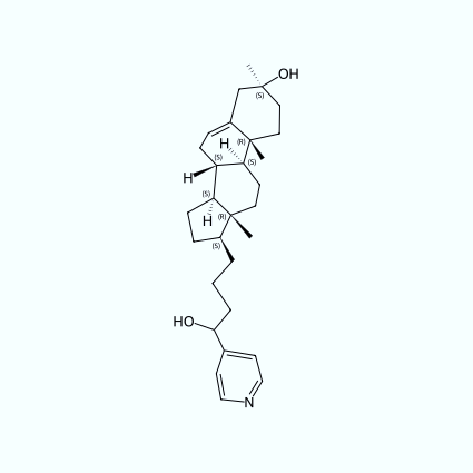 C[C@]1(O)CC[C@@]2(C)C(=CC[C@H]3[C@@H]4CC[C@H](CCCC(O)c5ccncc5)[C@@]4(C)CC[C@@H]32)C1